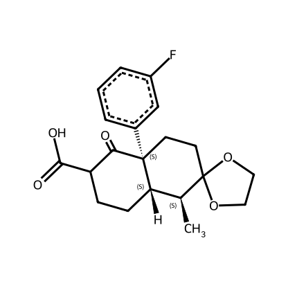 C[C@H]1[C@@H]2CCC(C(=O)O)C(=O)[C@@]2(c2cccc(F)c2)CCC12OCCO2